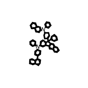 C1=C(C2(c3ccccc3)c3ccc(N(c4ccccc4)c4ccc(-c5cccc6ccccc56)cc4)cc3-c3cc4ccccc4cc32)CCC(N(c2ccccc2)c2ccc3ccccc3c2)C1